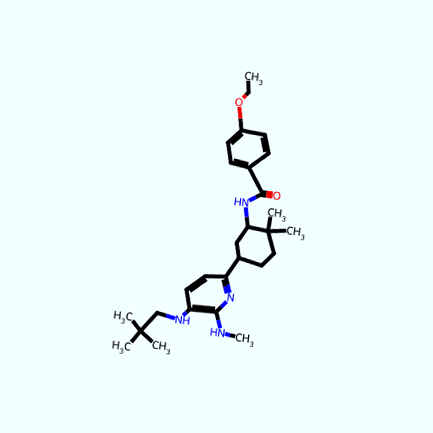 CCOc1ccc(C(=O)NC2CC(c3ccc(NCC(C)(C)C)c(NC)n3)CCC2(C)C)cc1